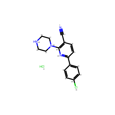 Cl.N#Cc1ccc(-c2ccc(Cl)cc2)nc1N1CCNCC1